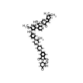 COc1ncc(-c2ccnc(N3CCn4c(cc5c4CC(C)(C)C5)C3=O)c2C(C)(C)O)cc1Nc1ccc(N2CCN(C3CCN(c4ccc5c(c4)C(=O)N([C@H]4CCC(=O)NC4=O)C5=O)CC3)C[C@@H]2C)cn1